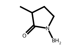 BN1CCC(C)C1=O